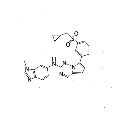 Cn1cnc2ccc(Nc3ncc4ccc(-c5cccc(S(=O)(=O)CC6CC6)c5)n4n3)cc21